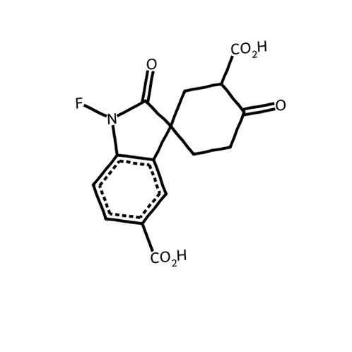 O=C(O)c1ccc2c(c1)C1(CCC(=O)C(C(=O)O)C1)C(=O)N2F